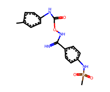 Cc1ccc(NC(=O)ONC(=N)c2ccc(NS(C)(=O)=O)cc2)cc1